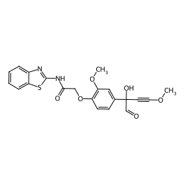 COC#CC(O)(C=O)c1ccc(OCC(=O)Nc2nc3ccccc3s2)c(OC)c1